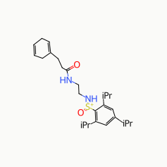 CC(C)c1cc(C(C)C)c([S+]([O-])NCCNC(=O)CCC2=CCC=CC2)c(C(C)C)c1